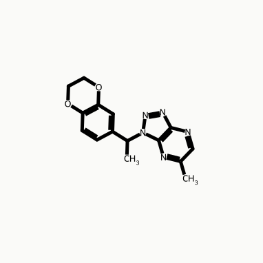 Cc1cnc2nnn(C(C)c3ccc4c(c3)OCCO4)c2n1